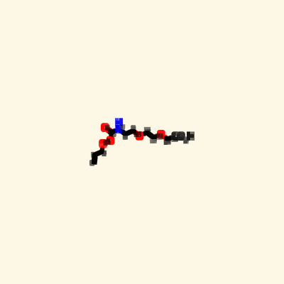 C=CCOOC(=O)NCCOCCOCC(=O)O